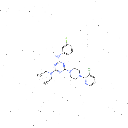 CCN(CC)c1nc(Nc2cccc(F)c2)nc(N2CCN(c3ncccc3Cl)CC2)n1